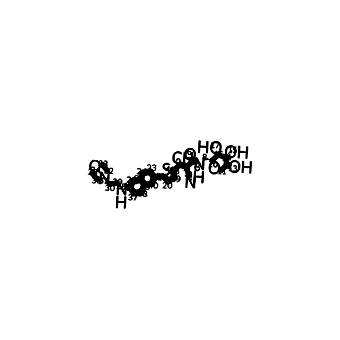 C/C(=C(/C#N)C(=O)NC[C@H]1OC[C@H](O)[C@@H](O)[C@@H]1O)c1ccc(-c2ccc3cc(NCCN4CCOCC4)ccc3c2)s1